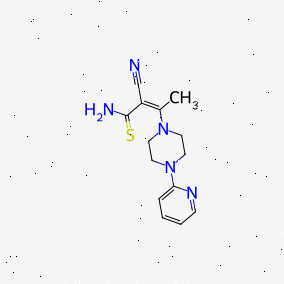 CC(=C(C#N)C(N)=S)N1CCN(c2ccccn2)CC1